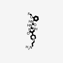 NCCCN1CCC(c2c[nH]c(NC(=O)Nc3ccccc3OCF)nc2=O)CC1